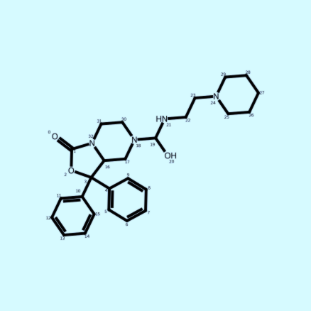 O=C1OC(c2ccccc2)(c2ccccc2)C2CN(C(O)NCCN3CCCCC3)CCN12